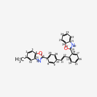 Cc1ccc2oc(-c3ccc(/C=C/c4ccccc4-c4nc5ccccc5o4)cc3)nc2c1